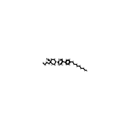 CCCCCCCCCc1ccc(-c2cnc([C@H]3CC[C@@](C#N)(CCCC)CC3)nc2)cc1